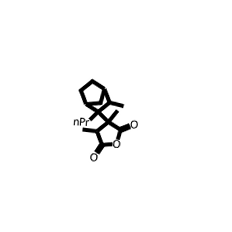 CCCC1(C2(C)C(=O)OC(=O)C2C)C2CCC(C2)C1C